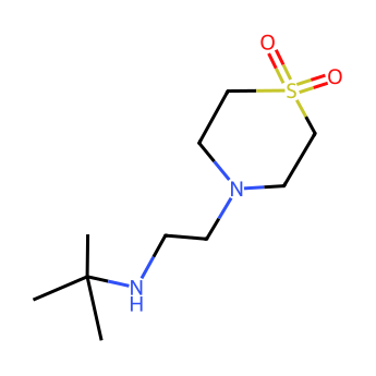 CC(C)(C)NCCN1CCS(=O)(=O)CC1